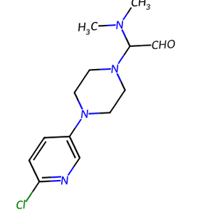 CN(C)C(C=O)N1CCN(c2ccc(Cl)nc2)CC1